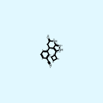 N#Cc1cccc(C2CC(=O)Nc3n[nH]c(C4CCC4)c32)c1